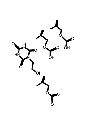 C=C(C)COC(=O)O.C=C(C)COC(=O)O.C=C(C)COC(=O)O.O=c1[nH]c(=O)n(CCO)c(=O)[nH]1